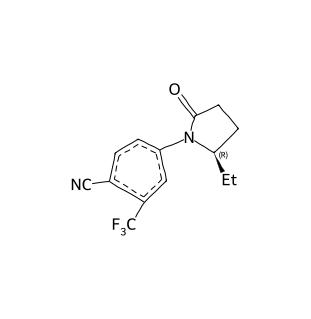 CC[C@@H]1CCC(=O)N1c1ccc(C#N)c(C(F)(F)F)c1